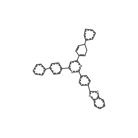 C1=CC(c2ccccc2)CC=C1c1cc(-c2ccc(-c3ccccc3)cc2)nc(-c2ccc(-c3nc4ccccc4s3)cc2)n1